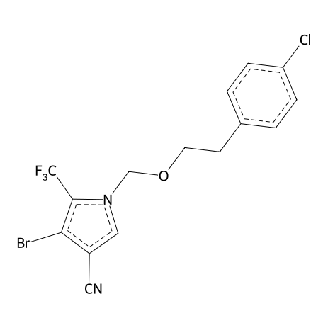 N#Cc1cn(COCCc2ccc(Cl)cc2)c(C(F)(F)F)c1Br